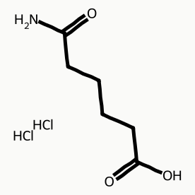 Cl.Cl.NC(=O)CCCCC(=O)O